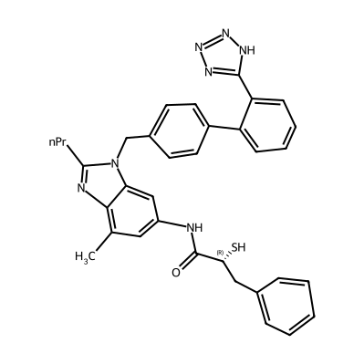 CCCc1nc2c(C)cc(NC(=O)[C@H](S)Cc3ccccc3)cc2n1Cc1ccc(-c2ccccc2-c2nnn[nH]2)cc1